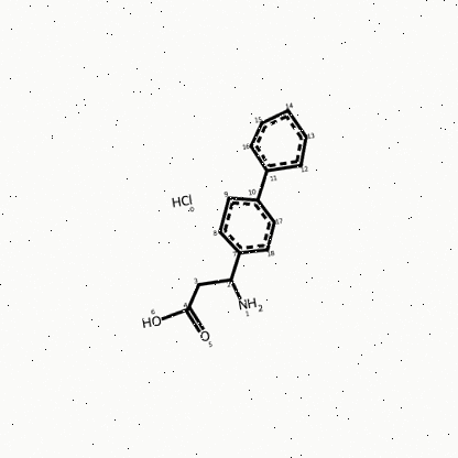 Cl.NC(CC(=O)O)c1ccc(-c2ccccc2)cc1